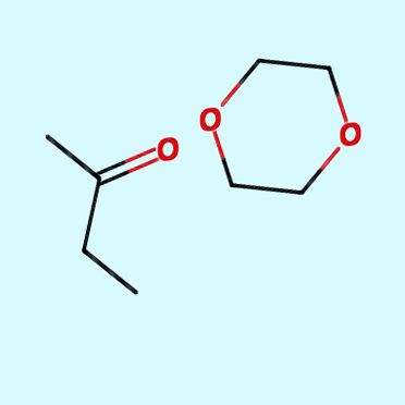 C1COCCO1.CCC(C)=O